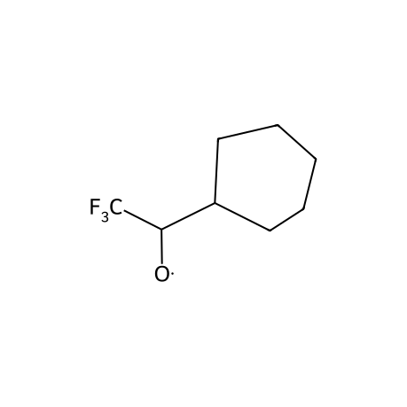 [O]C(C1CCCCC1)C(F)(F)F